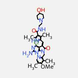 COc1c(C)cnc(CN2C(=O)/C(=C/c3[nH]c(C)c(C(=O)NCCN4CCC(O)CC4)c3C)c3c(Cl)nc(N)nc32)c1C